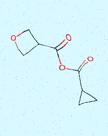 O=C(OC(=O)C1COC1)C1CC1